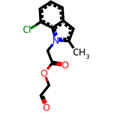 Cc1cc2cccc(Cl)c2n1CC(=O)OCC=O